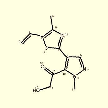 C=Cc1sc(-c2cnn(C)c2C(=O)CO)nc1C